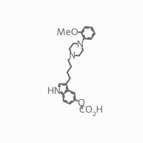 COc1ccccc1N1CCN(CCCCc2c[nH]c3ccc(OC(=O)O)cc23)CC1